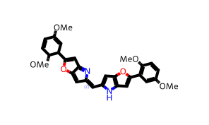 COC1=CC(c2cc3c(o2)=C/C(=C/c2cc4oc(-c5cc(OC)ccc5OC)cc4[nH]2)N=3)C(OC)C=C1